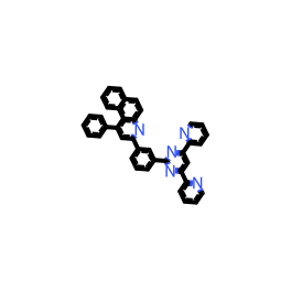 c1ccc(-c2cc(-c3cccc(-c4nc(-c5ccccn5)cc(-c5ccccn5)n4)c3)nc3ccc4ccccc4c23)cc1